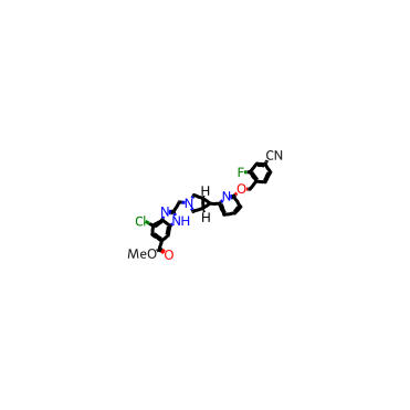 COC(=O)c1cc(Cl)c2nc(CN3C[C@@H]4C(c5cccc(OCc6ccc(C#N)cc6F)n5)[C@@H]4C3)[nH]c2c1